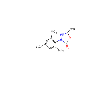 CC(C)(C)C1NN(c2c([N+](=O)[O-])cc(C(F)(F)F)cc2[N+](=O)[O-])C(=O)O1